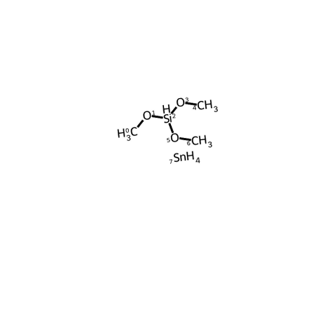 CO[SiH](OC)OC.[SnH4]